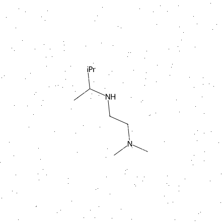 CC(C)C(C)NCCN(C)C